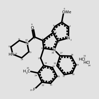 COc1cnc2c(c1)c(C(=O)N1CCNCC1)c(Cc1cccc(F)c1C)n2-c1ccccc1.Cl.Cl